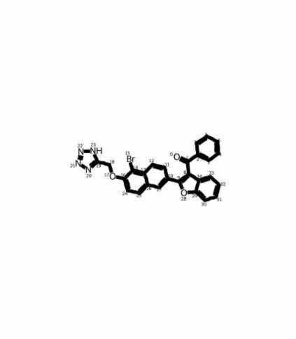 O=C(c1ccccc1)c1c(-c2ccc3c(Br)c(OCc4nnn[nH]4)ccc3c2)oc2ccccc12